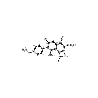 CCOC(=O)c1c2n(c3c(OC)c(-c4ccc(CN)cc4)c(F)cc3c1=O)C(C)S2